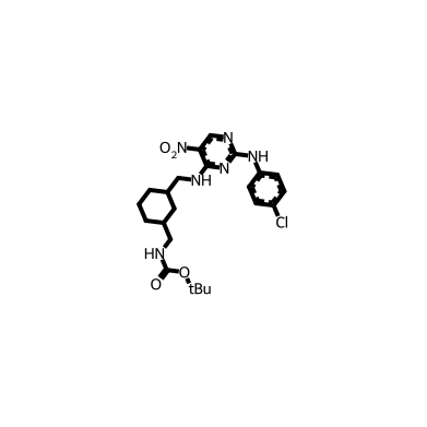 CC(C)(C)OC(=O)NCC1CCCC(CNc2nc(Nc3ccc(Cl)cc3)ncc2[N+](=O)[O-])C1